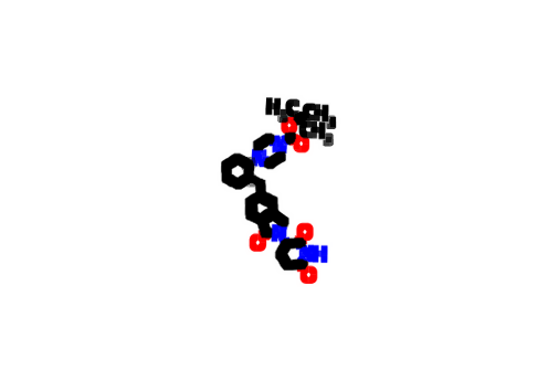 CC(C)(C)OC(=O)N1CCN([C@H]2CCCC[C@@H]2Cc2ccc3c(c2)CN(C2CCC(=O)NC2=O)C3=O)CC1